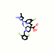 CC[C@@H]1CC(Cc2nc(Nc3cc(C)[nH]n3)ccc2F)(C(=O)O)CCN1Cc1c(F)cccc1F